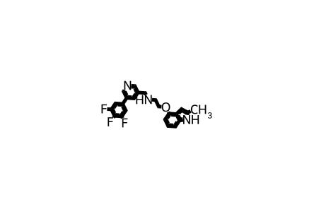 Cc1cc2c(OCCNCc3cncc(-c4cc(F)c(F)c(F)c4)c3)cccc2[nH]1